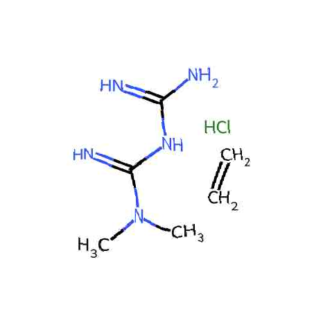 C=C.CN(C)C(=N)NC(=N)N.Cl